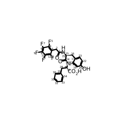 O=C(Cc1c(F)c(F)c(F)c(F)c1F)N[C@@H](Cc1ccc(O)cc1)C(=O)N[C@@H](Cc1ccccc1)C(=O)O